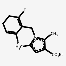 CCOC(=O)c1cc(C)n(CC2=C(F)CCC=C2F)c1C